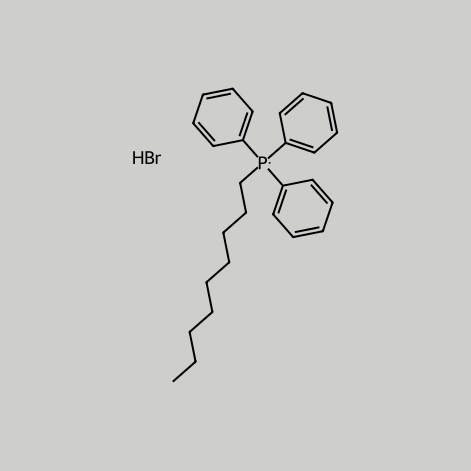 Br.CCCCCCCCC[P](c1ccccc1)(c1ccccc1)c1ccccc1